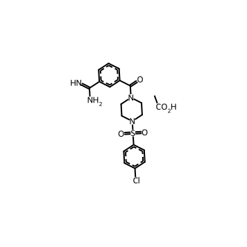 CC(=O)O.N=C(N)c1cccc(C(=O)N2CCN(S(=O)(=O)c3ccc(Cl)cc3)CC2)c1